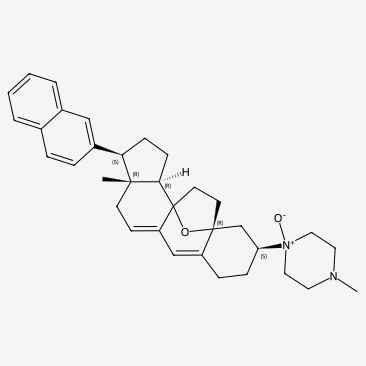 CN1CC[N+]([O-])([C@H]2CCC3=CC4=CC[C@]5(C)[C@@H](c6ccc7ccccc7c6)CC[C@H]5C45CC[C@]3(C2)O5)CC1